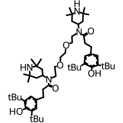 CC1(C)CC(N(CCOCCOCCN(C(=O)CCc2cc(C(C)(C)C)c(O)c(C(C)(C)C)c2)C2CC(C)(C)NC(C)(C)C2)C(=O)CCc2cc(C(C)(C)C)c(O)c(C(C)(C)C)c2)CC(C)(C)N1